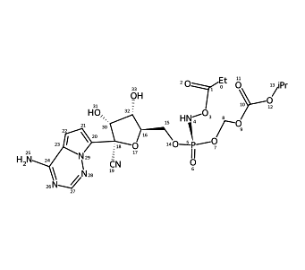 CCC(=O)ON[P@](=O)(OCOC(=O)OC(C)C)OC[C@H]1O[C@@](C#N)(c2ccc3c(N)ncnn23)[C@H](O)[C@@H]1O